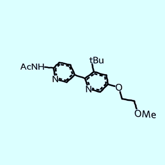 COCCOc1cnc(-c2ccc(NC(C)=O)nc2)c(C(C)(C)C)c1